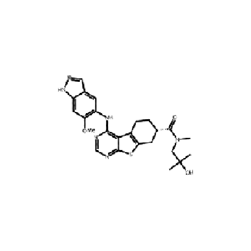 COc1cc2[nH]ncc2cc1Nc1ncnc2sc3c(c12)CC[C@H](C(=O)N(C)CC(C)(C)O)C3